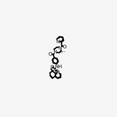 C[C@@H]1CN(C(=O)c2ccc(NS(=O)(=O)C3(C)CC=Cc4cccnc43)cc2)CCN1C(=O)c1ccccn1